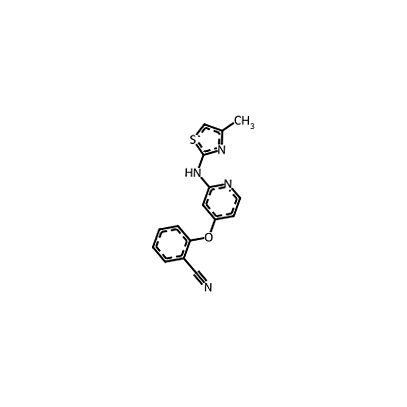 Cc1csc(Nc2cc(Oc3ccccc3C#N)ccn2)n1